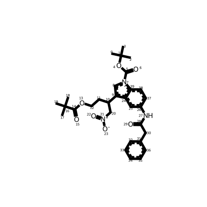 CC(C)(C)OC(=O)n1cc(C(CCOC(=O)C(C)(C)C)C[N+](=O)[O-])c2cc(NC(=O)Cc3ccccc3)ccc21